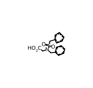 O=C(O)CN(Cc1ccccc1)S(=O)(=O)Cc1ccccc1